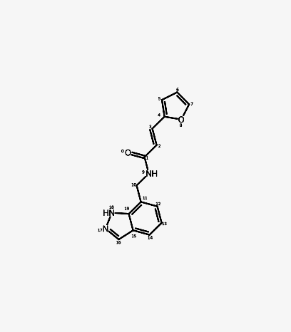 O=C(C=Cc1ccco1)NCc1cccc2cn[nH]c12